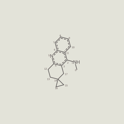 CNc1c2c(nc3ccccc13)CCC1(CC1)C2